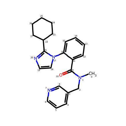 CN(Cc1cccnc1)C(=O)c1ccccc1-n1ccnc1C1CCCCC1